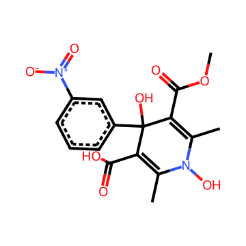 COC(=O)C1=C(C)N(O)C(C)=C(C(=O)O)C1(O)c1cccc([N+](=O)[O-])c1